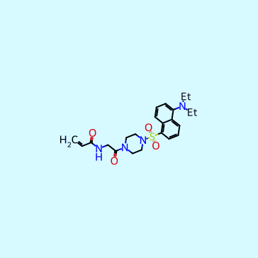 C=CC(=O)NCC(=O)N1CCN(S(=O)(=O)c2cccc3c(N(CC)CC)cccc23)CC1